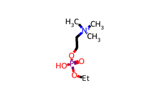 CCOP(=O)(O)OCC[N+](C)(C)C